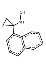 ONC1(c2cccc3ccccc23)CC1